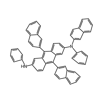 c1ccc(Nc2ccc3c(-c4ccc5ccccc5c4)c4cc(N(c5ccccc5)c5ccc6ccccc6c5)ccc4c(-c4ccc5ccccc5c4)c3c2)cc1